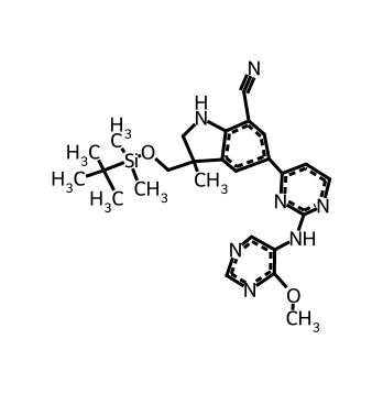 COc1ncncc1Nc1nccc(-c2cc(C#N)c3c(c2)C(C)(CO[Si](C)(C)C(C)(C)C)CN3)n1